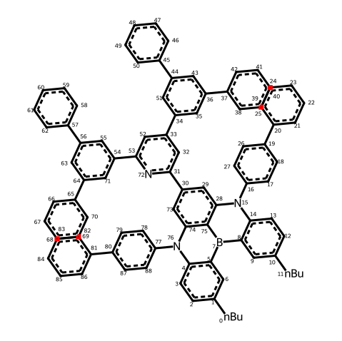 CCCCc1ccc2c(c1)B1c3cc(CCCC)ccc3N(c3ccc(-c4ccccc4)cc3)c3cc(-c4cc(-c5cc(-c6ccccc6)cc(-c6ccccc6)c5)cc(-c5cc(-c6ccccc6)cc(-c6ccccc6)c5)n4)cc(c31)N2c1ccc(-c2ccccc2)cc1